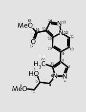 COC[C@@H](O)Cn1ncc(-c2ccn3ncc(C(=O)OC)c3c2)c1C